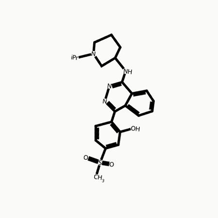 CC(C)N1CCCC(Nc2nnc(-c3ccc(S(C)(=O)=O)cc3O)c3ccccc23)C1